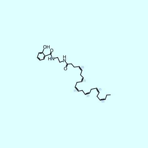 CC/C=C\C/C=C\C/C=C\C/C=C\C/C=C\C/C=C\CCC(=O)NCCNC(=O)c1ccccc1O